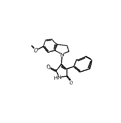 COc1ccc2c(c1)N(C1=C(c3ccccc3)C(=O)NC1=O)CC2